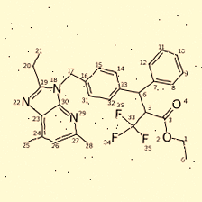 CCOC(=O)C(C(c1ccccc1)c1ccc(Cn2c(CC)nc3c(C)cc(C)nc32)cc1)C(F)(F)F